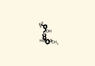 COc1cccc(C2(O)CC3CN(CC(O)c4cccc(C(F)(F)F)c4)CC3C2)c1